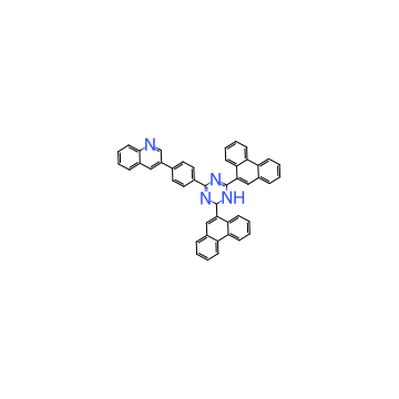 c1ccc2ncc(-c3ccc(C4=NC(c5cc6ccccc6c6ccccc56)NC(c5cc6ccccc6c6ccccc56)=N4)cc3)cc2c1